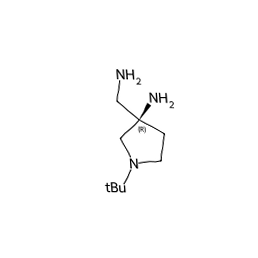 CC(C)(C)N1CC[C@@](N)(CN)C1